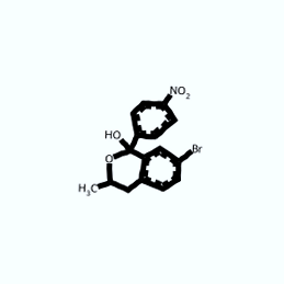 CC1Cc2ccc(Br)cc2C(O)(c2ccc([N+](=O)[O-])cc2)O1